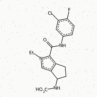 CCn1cc2c(c1C(=O)Nc1ccc(F)c(Cl)c1)CCC2NC(=O)O